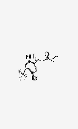 CCOC(=O)CCc1nc(Br)c(C(F)(F)F)cc1N